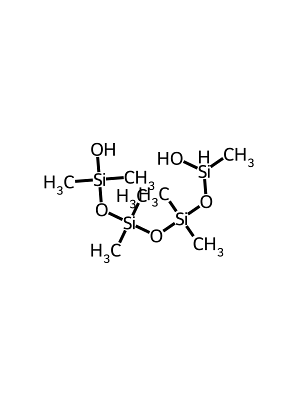 C[SiH](O)O[Si](C)(C)O[Si](C)(C)O[Si](C)(C)O